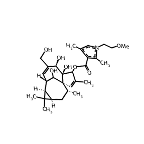 COCCn1cc(C)c(C(=O)O[C@H]2C(C)=C[C@]34C(O)[C@@H](C=C(CO)[C@@H](O)[C@]23O)[C@H]2[C@@H](C[C@H]4C)C2(C)C)c1C